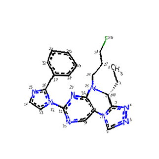 CC[C@@H]1c2nncn2-c2cnc(-n3ccnc3-c3ccccc3)nc2N1CCCF